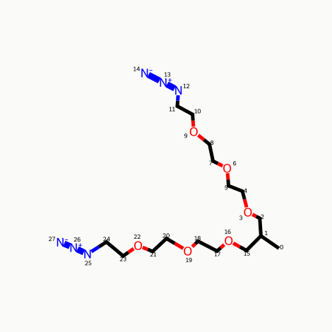 CC(COCCOCCOCCN=[N+]=[N-])COCCOCCOCCN=[N+]=[N-]